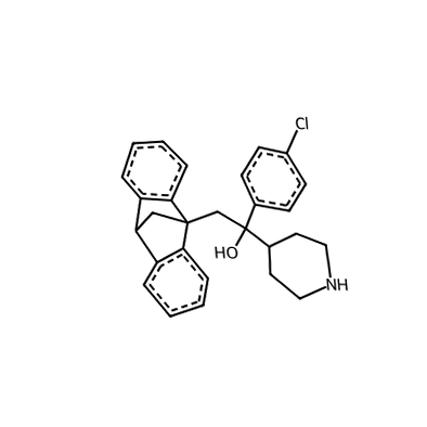 OC(CC12CC(c3ccccc31)c1ccccc12)(c1ccc(Cl)cc1)C1CCNCC1